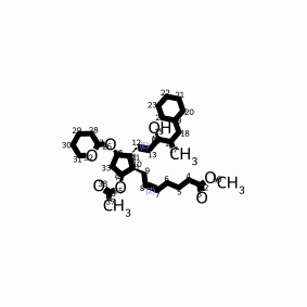 COC(=O)CCC/C=C\C[C@@H]1[C@@H](/C=C/[C@@H](O)C(C)CC2CCCCC2)[C@H](OC2CCCCO2)C[C@@H]1OC(C)=O